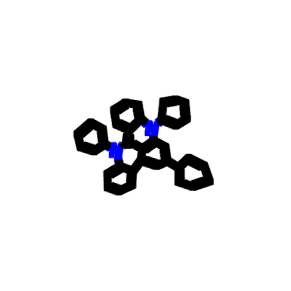 c1ccc(-c2cc3c4c(c2)N(c2ccccc2)c2ccccc2B4N(c2ccccc2)c2ccccc2-3)cc1